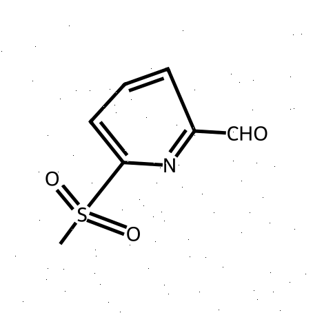 CS(=O)(=O)c1cccc(C=O)n1